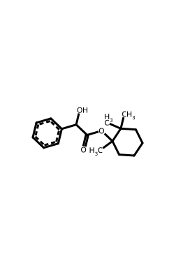 CC1(C)CCCCC1(C)OC(=O)C(O)c1ccccc1